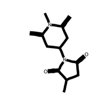 C=C1CC(N2C(=O)CC(C)C2=O)CC(=C)N1C